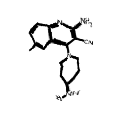 Cc1ccc2nc(N)c(C#N)c(N3CCC(NC(C)(C)C)CC3)c2c1